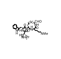 CNCCCCC1NC(=O)C(NC(=O)[C@H](Cc2c[nH]c3ccccc23)NC(=O)[C@H](CC(C)C)NN)CSSCC(C=O)NC1=O